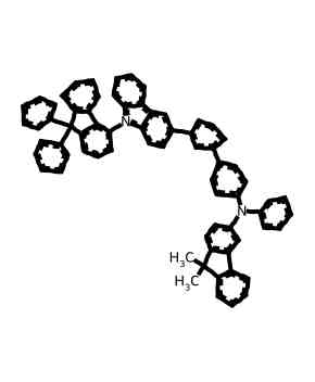 CC1(C)c2ccccc2-c2cc(N(c3ccccc3)c3ccc(-c4cccc(-c5ccc6c(c5)c5ccccc5n6-c5cccc6c5-c5ccccc5C6(c5ccccc5)c5ccccc5)c4)cc3)ccc21